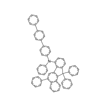 c1ccc(-c2ccc(-c3ccc(N(c4ccccc4)c4cccc5c4-c4cc(-c6ccccc6)c6ccccc6c4C5(c4ccccc4)c4ccccc4)cc3)cc2)cc1